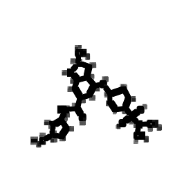 CN(C)S(=O)(=O)c1ccc(Oc2cc(C(=O)Nc3ccn(C)n3)cc3nn(C)cc23)cc1